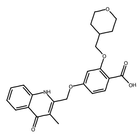 Cc1c(COc2ccc(C(=O)O)c(OCC3CCOCC3)c2)[nH]c2ccccc2c1=O